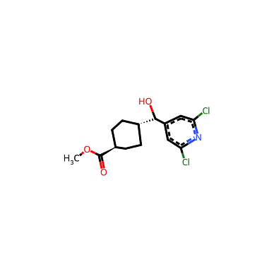 COC(=O)[C@H]1CC[C@H](C(O)c2cc(Cl)nc(Cl)c2)CC1